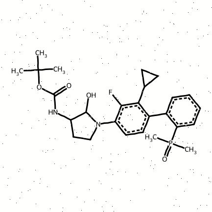 CC(C)(C)OC(=O)NC1CCN(c2ccc(-c3ccccc3P(C)(C)=O)c(C3CC3)c2F)C1O